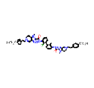 Cc1c(NC(=O)c2nc3c(n2C)CCN(CCc2ccc(C(=O)O)cc2)C3)cccc1-c1cccc(NC(=O)c2nc3c(n2C)CCN(CCC24CCC(C(=O)O)(CC2)C4)C3)c1Cl